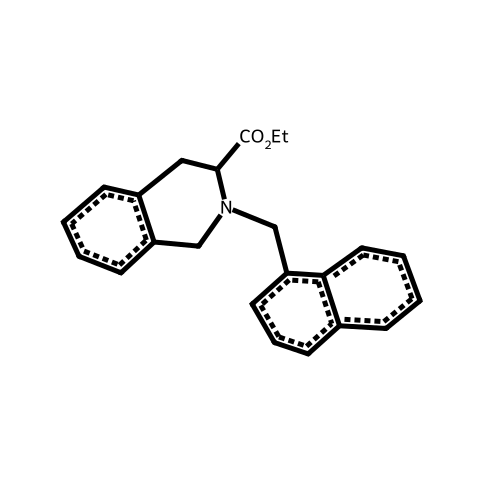 CCOC(=O)C1Cc2ccccc2CN1Cc1cccc2ccccc12